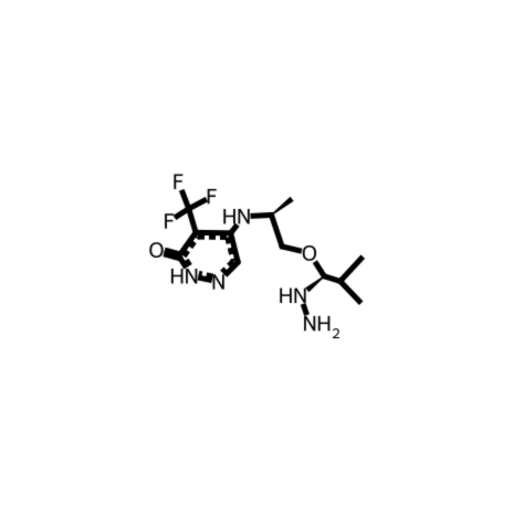 CC(C)[C@@H](NN)OC[C@H](C)Nc1cn[nH]c(=O)c1C(F)(F)F